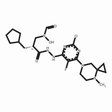 CN1CCN(c2nc(Cl)nc(NNC(=O)[C@H](CC3CCCC3)CN(O)C=O)c2F)CC12CC2